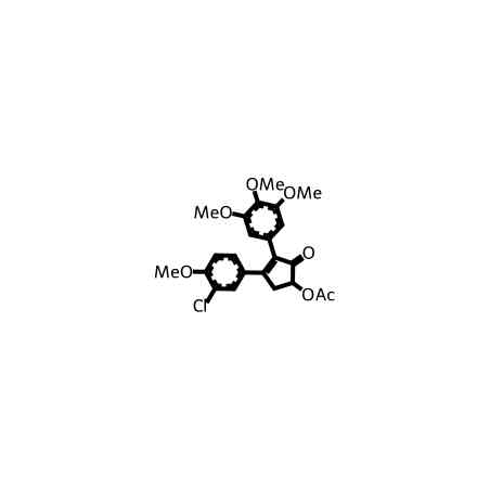 COc1ccc(C2=C(c3cc(OC)c(OC)c(OC)c3)C(=O)C(OC(C)=O)C2)cc1Cl